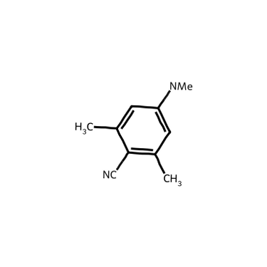 CNc1cc(C)c(C#N)c(C)c1